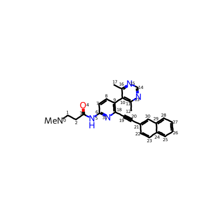 CNCCC(=O)Nc1ccc(-c2c(C)ncnc2C)c(C#Cc2ccc3ccccc3c2)n1